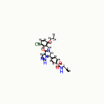 C#CCNS(=O)(=O)c1ccc(CCN(Cc2cc(Cl)ccc2OCCC)C(=O)c2cn[nH]n2)cc1